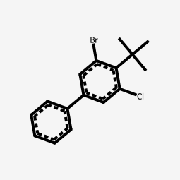 CC(C)(C)c1c(Cl)cc(-c2ccccc2)cc1Br